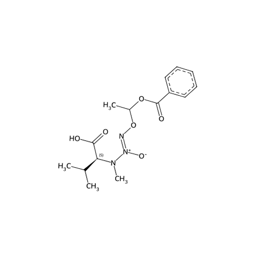 CC(ON=[N+]([O-])N(C)[C@H](C(=O)O)C(C)C)OC(=O)c1ccccc1